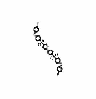 O=S(=O)(c1ccc(Sc2ccc(F)cc2)cc1)c1ccc(-c2ccc(S(=O)(=O)c3ccc(Sc4ccc(F)cc4)cc3)cc2)cc1